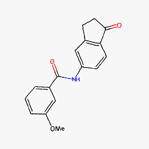 COc1cccc(C(=O)Nc2ccc3c(c2)CCC3=O)c1